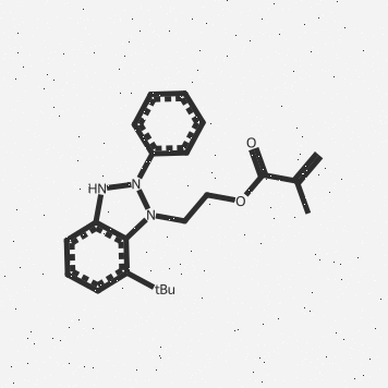 C=C(C)C(=O)OCCN1c2c(cccc2C(C)(C)C)NN1c1ccccc1